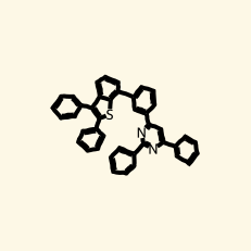 c1ccc(-c2cc(-c3cccc(-c4cccc5c(-c6ccccc6)c(-c6ccccc6)sc45)c3)nc(-c3ccccc3)n2)cc1